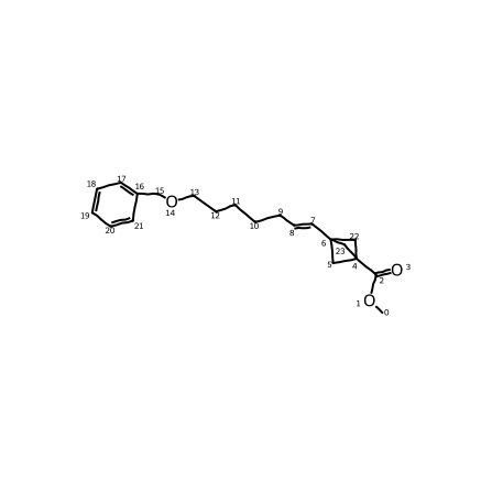 COC(=O)C12CC(/C=C/CCCCCOCc3ccccc3)(C1)C2